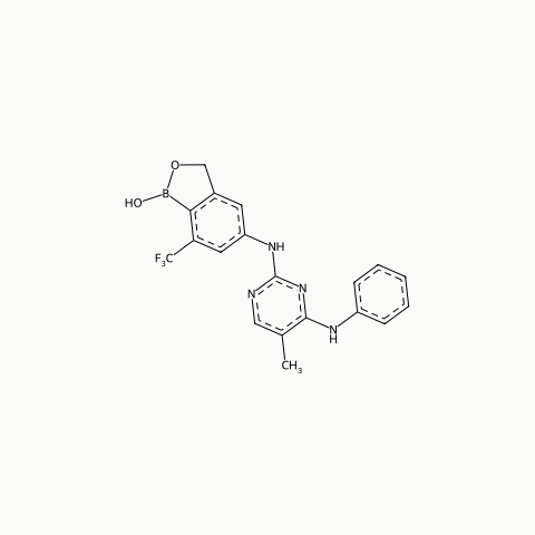 Cc1cnc(Nc2cc3c(c(C(F)(F)F)c2)B(O)OC3)nc1Nc1ccccc1